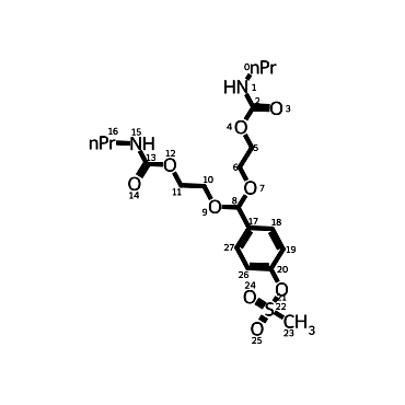 CCCNC(=O)OCCOC(OCCOC(=O)NCCC)c1ccc(OS(C)(=O)=O)cc1